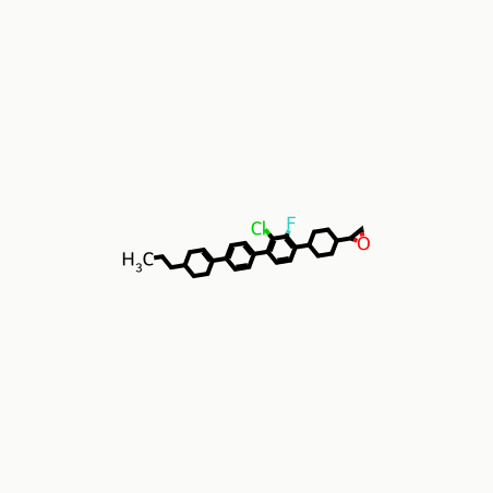 CCCC1CC=C(c2ccc(-c3ccc(C4CCC(C5CO5)CC4)c(F)c3Cl)cc2)CC1